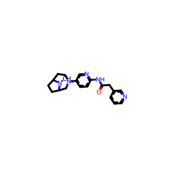 CN1C2CCC1CN(c1ccc(NC(=O)Cc3cccnc3)nc1)CC2